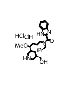 COC(CCCN(CC(C)C)C(=O)c1nc2ccccc2[nH]1)[C@@H]1CNC[C@H](CO)C1.Cl.Cl